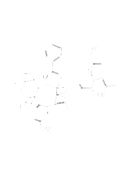 COC(=O)O[C@H]1C(=O)[C@@]2(C)C([C@H](OC(=O)c3ccccc3)[C@]3(O)C[C@H](OC(=O)[C@H](O)[C@H](C=C(C)C)NC(=O)OC(C)(C)C)C(C)=C1C3(C)C)[C@]1(OC(C)=O)CO[C@@H]1C[C@@H]2O